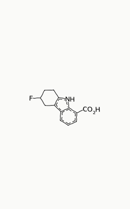 O=C(O)c1cccc2c3c([nH]c12)CCC(F)C3